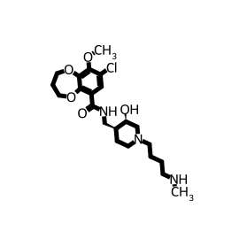 CNCCCCN1CC[C@@H](CNC(=O)c2cc(Cl)c(OC)c3c2OCCCO3)[C@H](O)C1